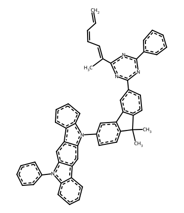 C=C/C=C\C=C(/C)c1nc(-c2ccccc2)nc(-c2ccc3c(c2)-c2cc(-n4c5ccccc5c5cc6c(cc54)c4ccccc4n6-c4ccccc4)ccc2C3(C)C)n1